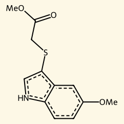 COC(=O)CSc1c[nH]c2ccc(OC)cc12